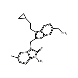 Cn1c(=O)n(Cc2cc3cc(CN)ccc3n2CCC2CC2)c2cc(F)ccc21